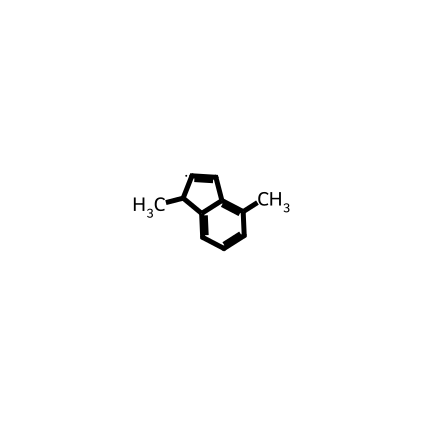 Cc1cccc2c1C=[C]C2C